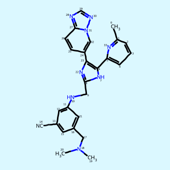 Cc1cccc(-c2[nH]c(CNc3cc(C#N)cc(CN(C)C)c3)nc2-c2ccc3ncnn3c2)n1